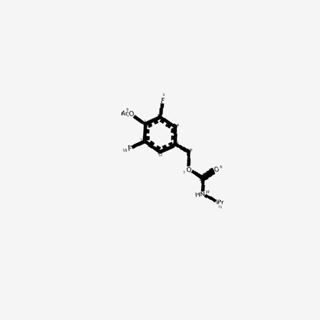 CC(=O)Oc1c(F)cc(COC(=O)NC(C)C)cc1F